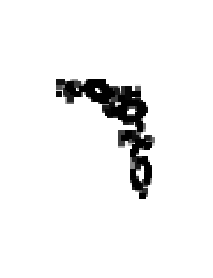 CN1CCCN(CC(=O)NCc2ccc3c(c2)Oc2cc(C(F)(F)F)ccc2N3)CC1